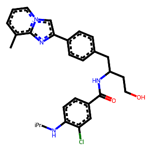 Cc1cccn2cc(-c3ccc(CC(CCO)NC(=O)c4ccc(NC(C)C)c(Cl)c4)cc3)nc12